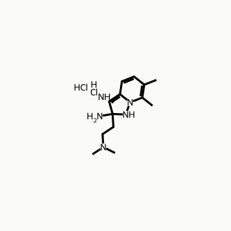 CC1=C(C)N2NC(N)(CCN(C)C)C=C2C=C1.Cl.Cl.N